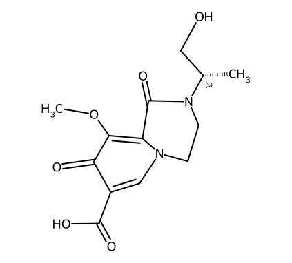 COc1c2n(cc(C(=O)O)c1=O)CCN([C@@H](C)CO)C2=O